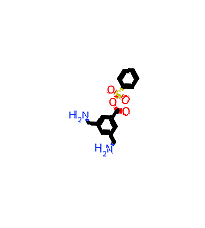 NCc1cc(CN)cc(C(=O)OS(=O)(=O)c2ccccc2)c1